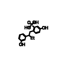 CCC(Cc1ccc(O)cc1P(=O)(O)O)c1cccc(O)c1